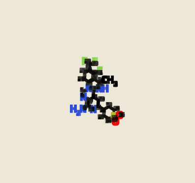 C[C@@H](Nc1ncnc2c(N)nc(C3=CCS(=O)(=O)CC3)cc12)c1cccc(C(F)F)c1F